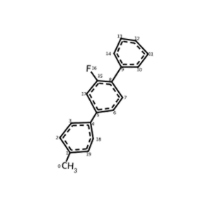 Cc1ccc(-c2ccc(-c3ccccc3)c(F)c2)cc1